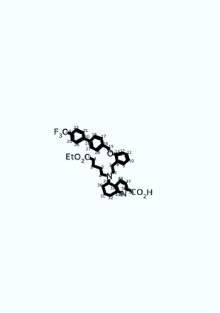 CCOC(=O)CCCCN(CCc1ccccc1OCc1ccc(-c2ccc(C(F)(F)F)cc2)cc1)C1CCCc2nc(C(=O)O)ccc21